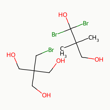 CC(C)(CO)C(O)(Br)Br.OCC(CO)(CO)CBr